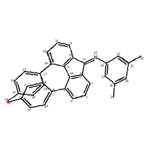 Cc1ccc(-c2cccc3c2-c2c(cccc2-c2ccc(C)cc2)C3=Nc2cc(C)cc(C)c2)cc1